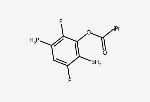 Bc1c(F)cc(P)c(F)c1OC(=O)C(C)C